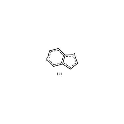 [LiH].c1cc2sccc2cn1